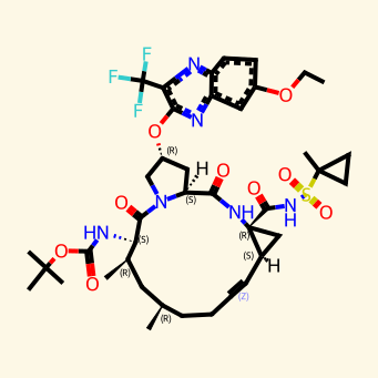 CCOc1ccc2nc(C(F)(F)F)c(O[C@@H]3C[C@H]4C(=O)N[C@]5(C(=O)NS(=O)(=O)C6(C)CC6)C[C@H]5/C=C\CC[C@@H](C)C[C@@H](C)[C@H](NC(=O)OC(C)(C)C)C(=O)N4C3)nc2c1